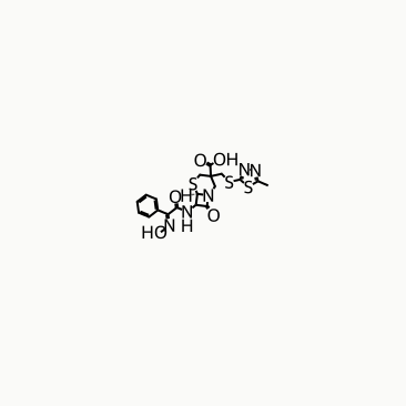 Cc1nnc(SCC2(C(=O)O)CS[C@@H]3C(NC(=O)C(=NO)c4ccccc4)C(=O)N3C2)s1